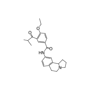 CCOc1ccc(C(=O)Nc2ccc3c(c2)C2CCCN2CC3)cc1C(=O)C(C)C